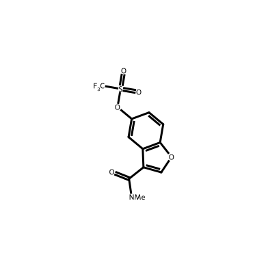 CNC(=O)c1coc2ccc(OS(=O)(=O)C(F)(F)F)cc12